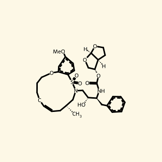 COc1ccc2c(c1)OCCCC/C=C\C[C@@H](C)CN(C[C@@H](O)[C@H](Cc1ccccc1)NC(=O)O[C@@H]1CO[C@H]3OCC[C@H]31)S2(=O)=O